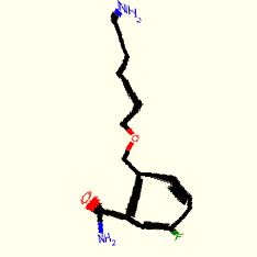 NCCC[CH]COCc1ccc(F)cc1C(N)=O